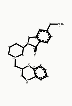 CC(=O)NCc1ccc2c(c1)CN(C1CCCN(CC3COc4ccccc4O3)C1)C2=O